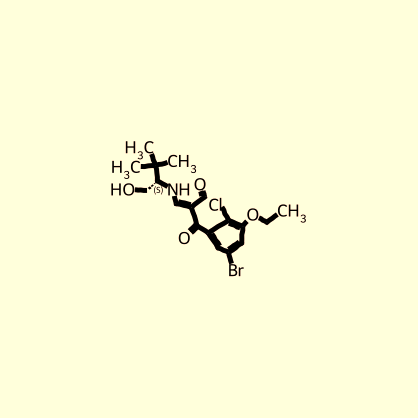 CCOc1cc(Br)cc(C(=O)C(C=O)=CN[C@H](CO)C(C)(C)C)c1Cl